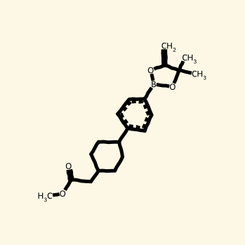 C=C1OB(c2ccc(C3CCC(CC(=O)OC)CC3)cc2)OC1(C)C